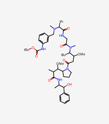 CCC(C)C(C(CC(=O)N1CCCC1C(OC)C(C)C(=O)NC(C)C(O)c1ccccc1)OC)N(C)C(=O)CNC(=O)C(C(C)C)N(C)Cc1cccc(NC(=O)OC(C)(C)C)c1